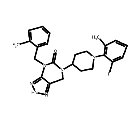 Cc1cccc(F)c1N1CCC(N2Cc3n[nH]nc3N(Cc3ccccc3C(F)(F)F)C2=O)CC1